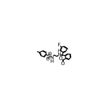 Cc1ccc(S(=O)(=O)NCCNC2(c3cccc(F)c3)OC(=O)c3ccccc32)cc1